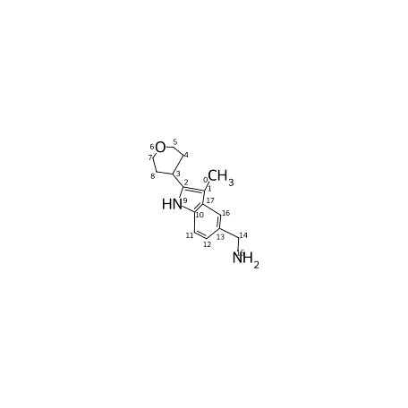 Cc1c(C2CCOCC2)[nH]c2ccc(CN)cc12